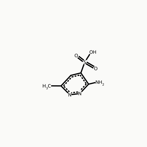 Cc1cc(S(=O)(=O)O)c(N)nn1